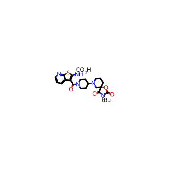 CC(C)(C)N1C(=O)OC2(CCCN(C3CCN(C(=O)c4c(NC(=O)O)sc5ncccc45)CC3)C2)C1=O